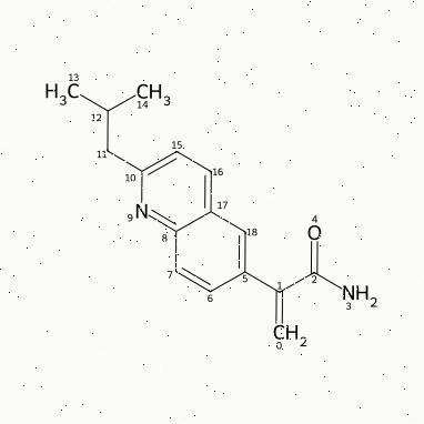 C=C(C(N)=O)c1ccc2nc(CC(C)C)ccc2c1